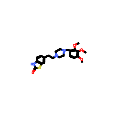 COc1ccc(CN2CCN(CCc3ccc4[nH]c(=O)sc4c3)CC2)c(OC)c1OC